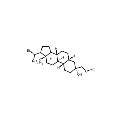 CCOC[C@@]1(O)CC[C@H]2[C@H](CC[C@@H]3[C@@H]2CC[C@]2(C)[C@@H]([C@@H](N)CC)CC[C@@H]32)C1